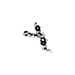 COc1ccc(C[C@H](NC(=O)[C@H](C)NC(=O)CN2CCOCC2)C(=O)N[C@@H](Cc2ccc(OC(N)=O)cc2)C(=O)[C@H]2CO2)cc1